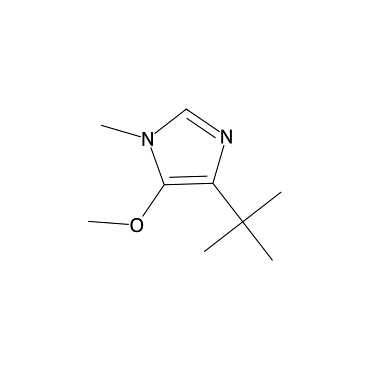 COc1c(C(C)(C)C)ncn1C